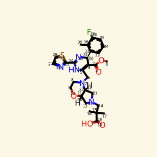 COC(=O)C1=C(CN2CCO[C@H]3CN(CC(C)(C)C(=O)O)C[C@H]32)NC(c2nccs2)=N[C@H]1c1cccc(F)c1C